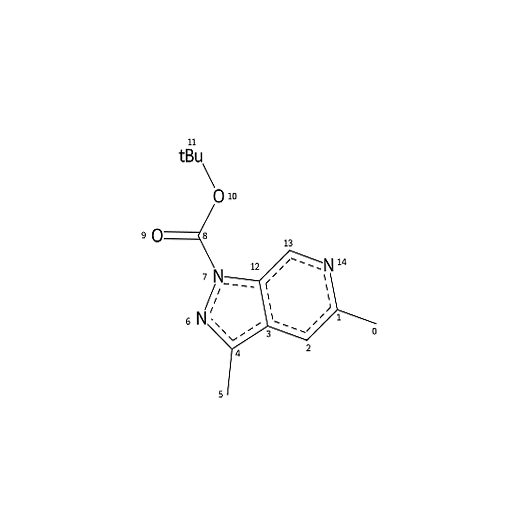 Cc1cc2c(C)nn(C(=O)OC(C)(C)C)c2cn1